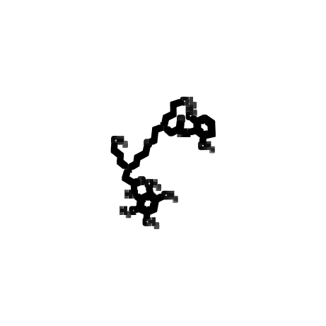 CCCCN(CCOCCCN(CCCC)CC(=O)Nc1c(C)c(C)cc(C)c1C)CC(=O)Nc1c(C)cccc1C